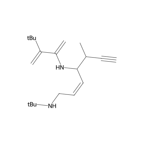 C#CC(C)C(/C=C\CNC(C)(C)C)NC(=C)C(=C)C(C)(C)C